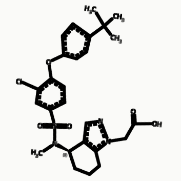 CN([C@@H]1CCCc2c1cnn2CC(=O)O)S(=O)(=O)c1ccc(Oc2ccc(C(C)(C)C)cc2)c(Cl)c1